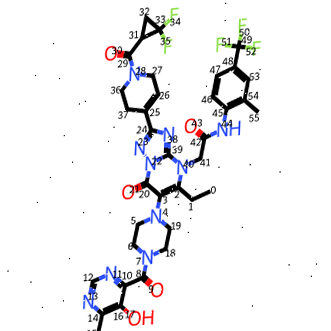 CCc1c(N2CCN(C(=O)c3ncnc(C)c3O)CC2)c(=O)n2nc(C3=CCN(C(=O)C4CC4(F)F)CC3)nc2n1CC(=O)Nc1ccc(C(F)(F)F)cc1C